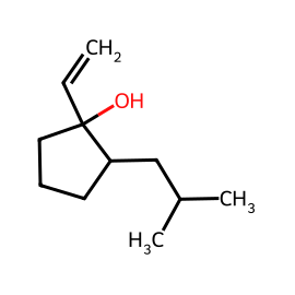 C=CC1(O)CCCC1CC(C)C